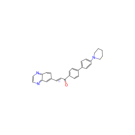 O=C(/C=C/c1ccc2nccnc2c1)c1ccc(-c2ccc(N3CCCCC3)cc2)cc1